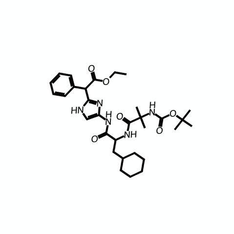 CCOC(=O)C(c1ccccc1)c1nc(NC(=O)C(CC2CCCCC2)NC(=O)C(C)(C)NC(=O)OC(C)(C)C)c[nH]1